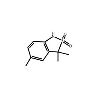 Cc1ccc2c(c1)C(C)(C)S(=O)(=O)N2